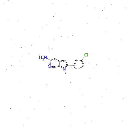 Cn1c(-c2cccc(Cl)c2)cc2cc(N)n[c]c21